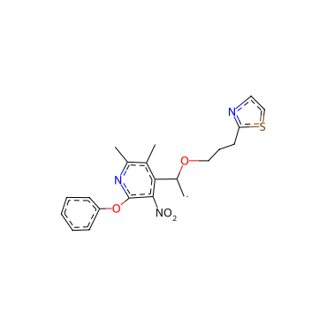 [CH2]C(OCCCc1nccs1)c1c(C)c(C)nc(Oc2ccccc2)c1[N+](=O)[O-]